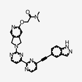 CN(C)C(=O)COc1cc2c(cn1)CN(c1nccc(-c3nccc(C#Cc4ccc5[nH]ncc5c4)n3)n1)C2